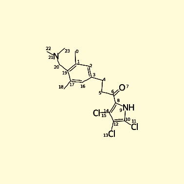 Cc1cc(CCC(=O)c2[nH]c(Cl)c(Cl)c2Cl)cc(C)c1CN(C)C